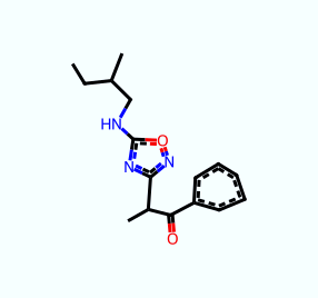 CCC(C)CNc1nc(C(C)C(=O)c2ccccc2)no1